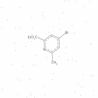 CCOC(=O)c1cc(Br)cc(C)n1